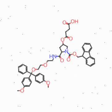 COc1ccc(C(OCCOCCNC(=O)C2CC(OC(=O)CCC(=O)O)CN2C(=O)OCC2c3ccccc3-c3ccccc32)(c2ccccc2)c2ccc(OC)cc2)cc1